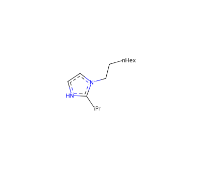 CCCCCCCC[n+]1cc[nH]c1C(C)C